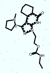 CCNC(=O)OCCn1nc([C@H]2CCCN2C)c2c3c(c(=O)[nH]c21)CCCC3